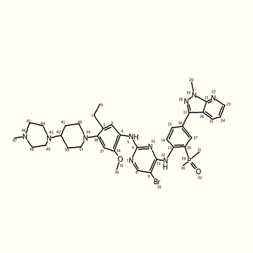 CCc1cc(Nc2ncc(Br)c(Nc3ccc(-c4nn(C)c5ncccc45)cc3P(C)(C)=O)n2)c(OC)cc1N1CCC(N2CCN(C)CC2)CC1